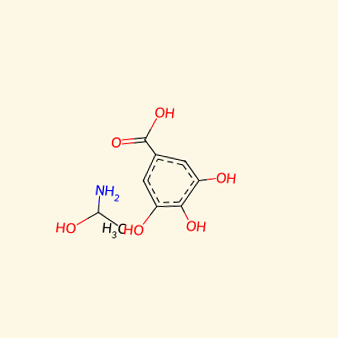 CC(N)O.O=C(O)c1cc(O)c(O)c(O)c1